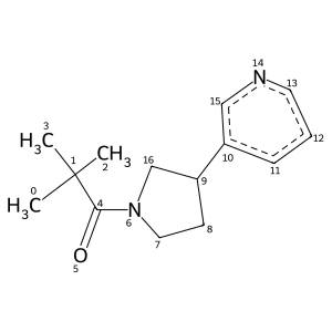 CC(C)(C)C(=O)N1CCC(c2cccnc2)C1